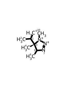 CC(C)[C@@]1(C)C(C)N=NN1C